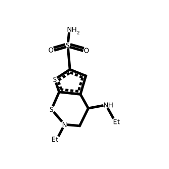 CCNC1CN(CC)Sc2sc(S(N)(=O)=O)cc21